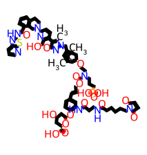 Cc1c(-c2ccc(N3CCc4cccc(C(=O)Nc5nc6cccnc6s5)c4C3)nc2C(=O)O)cnn1CC12CC3(C)CC(OCCN(CCCP(=O)(O)O)C(=O)OC/C=C/c4ccc(O[C@H]5C[C@@H](O)C[C@@H](C(=O)O)O5)c(NC(=O)CCNC(=O)CCCCCN5C(=O)C=CC5=O)c4)(CC1(C)C3)C2